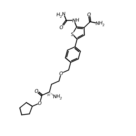 NC(=O)Nc1sc(-c2ccc(COCC[C@H](N)C(=O)OC3CCCC3)cc2)cc1C(N)=O